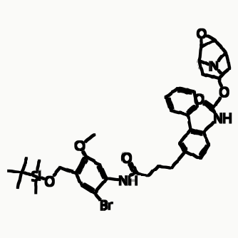 COc1cc(NC(=O)CCCc2ccc(NC(=O)OC3CC4C5OC5C(C3)N4C)c(-c3ccccc3)c2)c(Br)cc1CO[Si](C)(C)C(C)(C)C